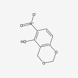 O=[N+]([O-])c1ccc2c(c1O)COCO2